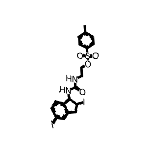 Cc1ccc(S(=O)(=O)OCCNC(=O)NC2c3ccc(I)cc3CC2I)cc1